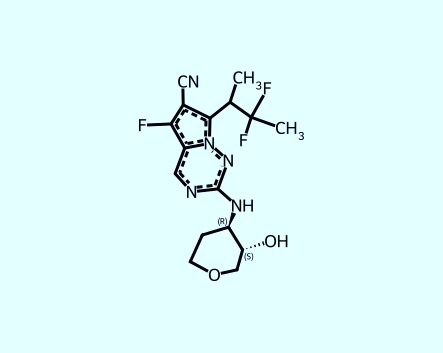 CC(c1c(C#N)c(F)c2cnc(N[C@@H]3CCOC[C@H]3O)nn12)C(C)(F)F